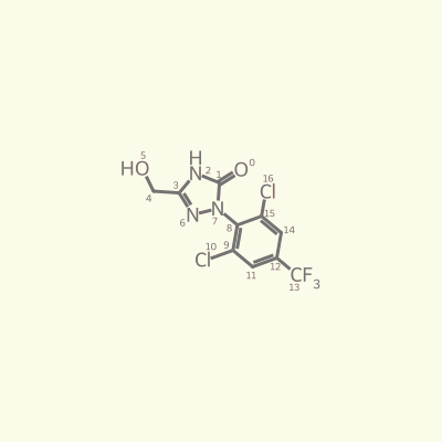 O=c1[nH]c(CO)nn1-c1c(Cl)cc(C(F)(F)F)cc1Cl